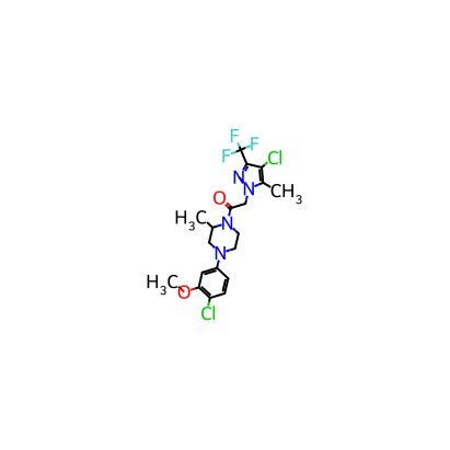 COc1cc(N2CCN(C(=O)Cn3nc(C(F)(F)F)c(Cl)c3C)C(C)C2)ccc1Cl